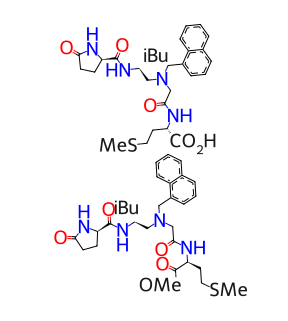 CC[C@H](C)[C@@H](CN(CC(=O)N[C@@H](CCSC)C(=O)O)Cc1cccc2ccccc12)NC(=O)[C@H]1CCC(=O)N1.CC[C@H](C)[C@@H](CN(CC(=O)N[C@@H](CCSC)C(=O)OC)Cc1cccc2ccccc12)NC(=O)[C@H]1CCC(=O)N1